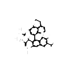 Cc1cc2cc(C(F)F)c(F)cc2c(-c2ccc3c4c(ccnc24)CCO3)c1C(OC(C)(C)C)C(=O)O